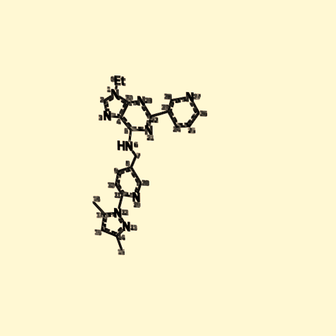 CCn1cnc2c(NCc3ccc(-n4nc(C)cc4C)nc3)nc(-c3cccnc3)nc21